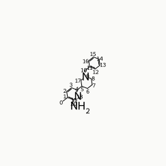 Cc1ccc(C2CCCN(Cc3ccccc3)C2)nc1N